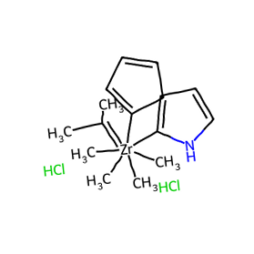 C[C](C)=[Zr]([CH3])([CH3])([CH3])([CH3])([C]1=CC=CC1)[c]1ccc[nH]1.Cl.Cl